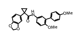 COc1ccc(-c2cc(NC(=O)C3(c4ccc5c(c4)OCO5)CC3)ccc2OC)cc1